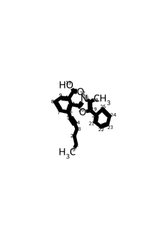 CCCCC#Cc1cccc(C(=O)O)c1-c1nc(C)c(-c2ccccc2)o1